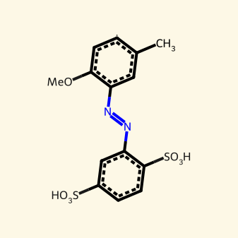 COc1c[c]c(C)cc1N=Nc1cc(S(=O)(=O)O)ccc1S(=O)(=O)O